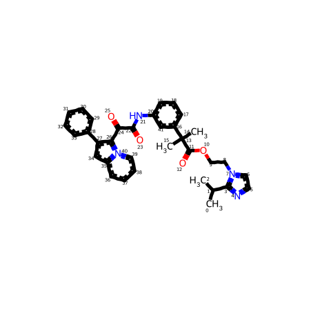 CC(C)c1nccn1CCOC(=O)C(C)(C)c1cccc(NC(=O)C(=O)c2c(-c3ccccc3)cc3ccccn23)c1